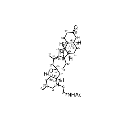 CC(=O)NCCN1C[C@@H](C)C[C@H]2O[C@]3(CC[C@@H]4C(=C(C)C3)C[C@H]3[C@H]4CC[C@@H]4CC(=O)CC[C@@]43C)C[C@@H]21